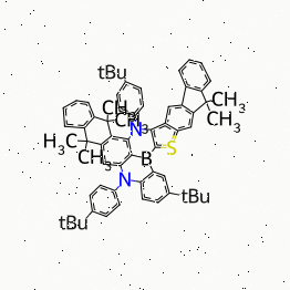 CC(C)(C)c1ccc(N2c3ccc(C(C)(C)C)cc3B3c4sc5cc6c(cc5c4N(c4ccc(C(C)(C)C)cc4)c4c3c2cc2c4C(C)(C)c3ccccc3C2(C)C)-c2ccccc2C6(C)C)cc1